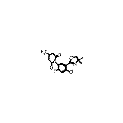 CC1(C)COC(c2cc(N3C(=O)CC(C(F)(F)F)CC3=O)c(F)cc2Cl)=N1